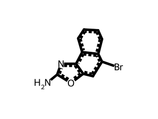 Nc1nc2c(cc(Br)c3ccccc32)o1